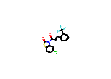 O=C(C=Cc1ccccc1C(F)(F)F)n1c(=O)sc2ccc(Cl)cc21